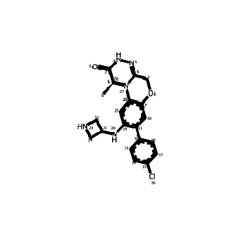 C[C@H]1C(=O)NN=C2COc3cc(-c4ccc(Cl)cc4)c(NC4CNC4)cc3N21